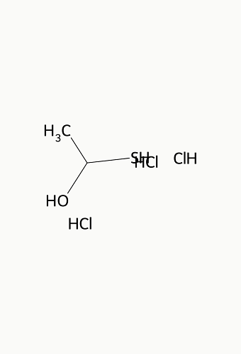 CC(O)S.Cl.Cl.Cl